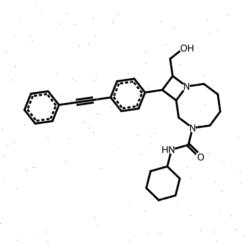 O=C(NC1CCCCC1)N1CCCCN2C(CO)C(c3ccc(C#Cc4ccccc4)cc3)C2C1